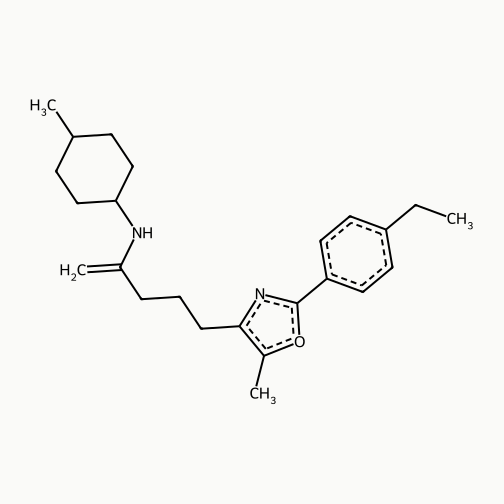 C=C(CCCc1nc(-c2ccc(CC)cc2)oc1C)NC1CCC(C)CC1